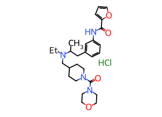 CCN(CC1CCN(C(=O)N2CCOCC2)CC1)C(C)Cc1cccc(NC(=O)c2ccco2)c1.Cl